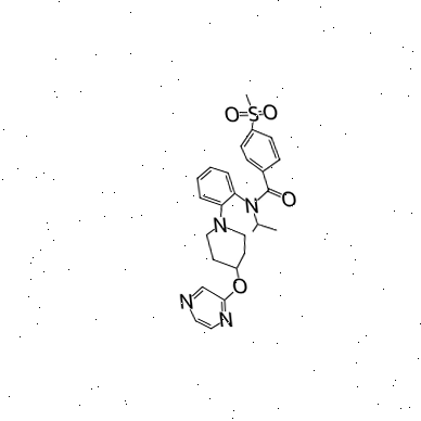 CC(C)N(C(=O)c1ccc(S(C)(=O)=O)cc1)c1ccccc1N1CCC(Oc2cnccn2)CC1